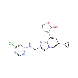 O=C1OCCN1c1cc(C2CC2)cn2cc(CNc3cc(Cl)ncn3)nc12